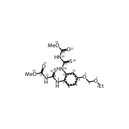 CCOCOc1ccc(NC(=S)NC(=O)OC)c(NC(=S)NC(=O)OC)c1